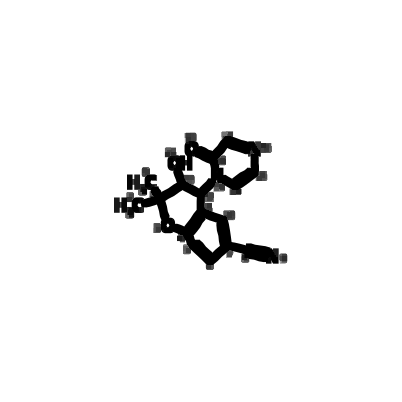 CC1(C)Oc2ccc(C#N)cc2C(n2ccncc2=O)C1O